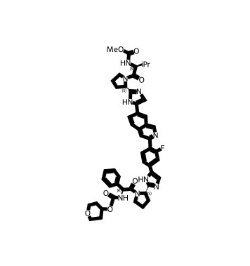 COC(=O)N[C@H](C(=O)N1CCC[C@H]1c1ncc(-c2ccc3cc(-c4ccc(-c5cnc([C@@H]6CCCN6C(=O)[C@H](NC(=O)OC6CCOCC6)c6ccccc6)[nH]5)cc4F)ncc3c2)[nH]1)C(C)C